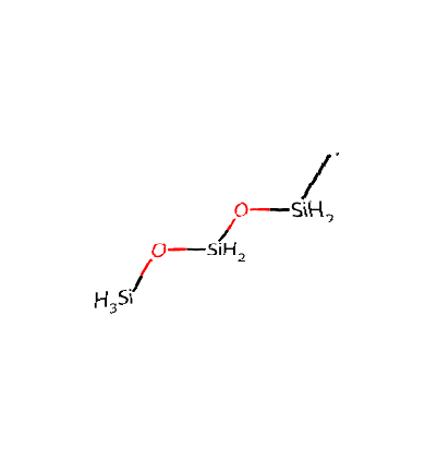 [CH2][SiH2]O[SiH2]O[SiH3]